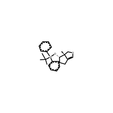 CC(C)(C)[Si](O[C@H]1CCC2=COC[C@]21C)(c1ccccc1)c1ccccc1